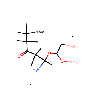 BCC(OB)OC(C)(N)C(C)(C)C(=O)C(C)(C)C(C)(C)NC